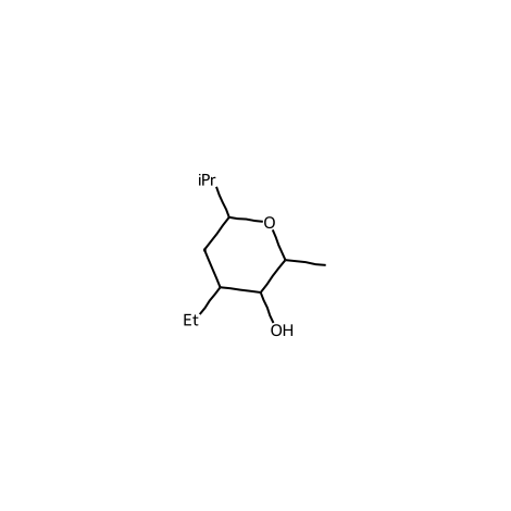 CCC1CC(C(C)C)OC(C)C1O